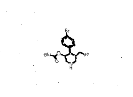 CC(C)CC1CNCC(OC(=O)C(C)(C)C)C1c1ccc(Br)cc1